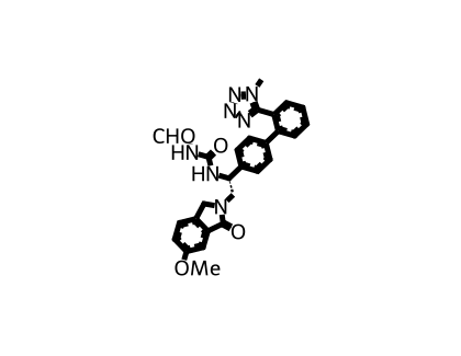 COc1ccc2c(c1)C(=O)N(C[C@H](NC(=O)NC=O)c1ccc(-c3ccccc3-c3nnnn3C)cc1)C2